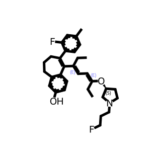 CC/C(=C\C=C(/CC)C1=C(c2ccc(C)cc2F)CCCc2cc(O)ccc21)O[C@H]1CCN(CCCF)C1